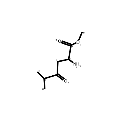 COC(=O)C(N)CC(=O)C(C)C